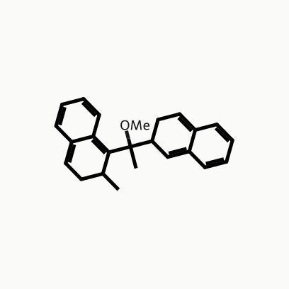 COC(C)(C1=c2ccccc2=CCC1C)C1C=c2ccccc2=CC1